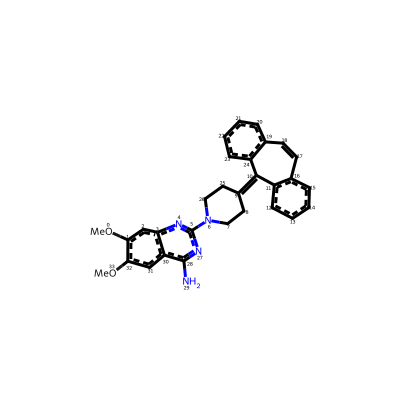 COc1cc2nc(N3CCC(=C4c5ccccc5C=Cc5ccccc54)CC3)nc(N)c2cc1OC